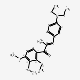 CCN(CC)c1ccc(/C=C(\C)C(=O)c2ccc(OC)c(OC)c2OC)cc1